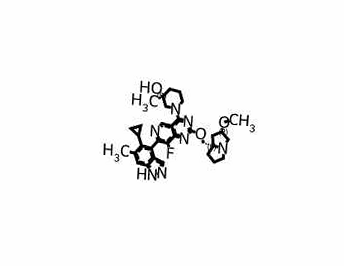 CO[C@H]1CN2CCC[C@@]2(COc2nc(N3CCC[C@@](C)(O)C3)c3cnc(-c4c(C5CC5)c(C)cc5[nH]ncc45)c(F)c3n2)C1